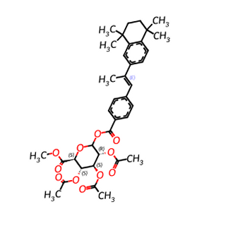 COC(=O)[C@H]1OC(OC(=O)c2ccc(/C=C(\C)c3ccc4c(c3)C(C)(C)CCC4(C)C)cc2)[C@H](OC(C)=O)[C@@H](OC(C)=O)[C@@H]1OC(C)=O